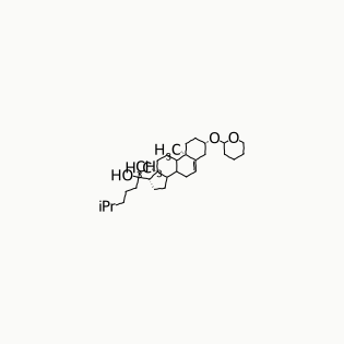 CC(C)CCC[C@](C)(O)[C@H]1CCC2C3CC=C4C[C@@H](OC5CCCCO5)CC[C@]4(C)C3CC[C@@]21C